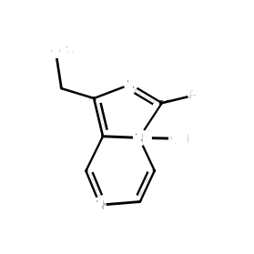 CC(=O)OCC1=C2C=NC=C[N+]2(C)C(Br)=N1